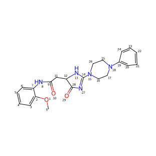 COc1ccccc1NC(=O)CC1NC(N2CCN(c3ccccc3)CC2)=NC1=O